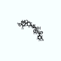 COc1ncc([C@]2(O)CC[C@H](N3CC(NC(=O)CNC(=O)c4cccc(C)c4)C3)CC2)cc1C